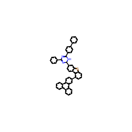 c1ccc(C2=NC(c3ccc4c(c3)sc3cccc(-c5ccc6c7ccccc7c7ccccc7c6c5)c34)NC(c3ccc(-c4ccccc4)cc3)=N2)cc1